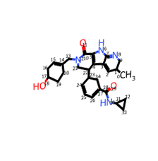 CC1C=c2c3c([nH]c2=NC1)C(=O)N(CC1=CCC(O)CC1)CC3C1C=CC=C(C(=O)NC2CC2)C1